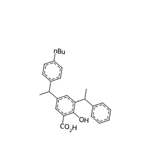 CCCCc1ccc(C(C)c2cc(C(=O)O)c(O)c(C(C)c3ccccc3)c2)cc1